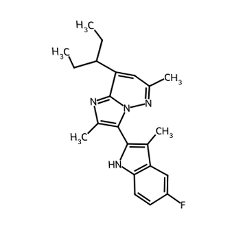 CCC(CC)c1cc(C)nn2c(-c3[nH]c4ccc(F)cc4c3C)c(C)nc12